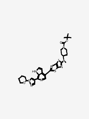 CN(c1nc2sc(-c3cnc(-c4cnn(C5CCCCO5)c4)c4[nH]ccc34)nc2s1)C1CCN(C(=O)OC(C)(C)C)CC1